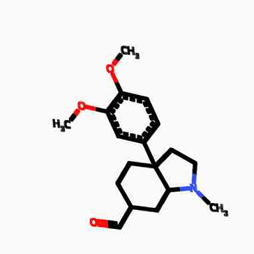 COc1ccc(C23CCC(C=O)CC2N(C)CC3)cc1OC